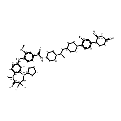 COc1cc(C(=O)N[C@H]2CC[C@H](N(C)CC3CCN(c4ccc(C5CCC(=O)NC5=O)cc4F)CC3)CC2)ccc1Nc1ncc2c(n1)N(C1CCCC1)CC(F)(F)C(=O)N2C